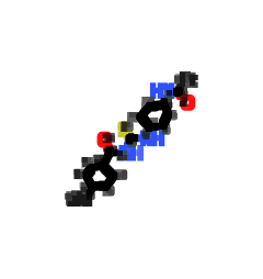 CCC(=O)Nc1ccc(NC(=S)NC(=O)c2ccc(C(C)(C)C)cc2)cc1